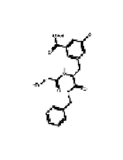 COC(=O)c1cc(Br)cc(C[C@H](NC(=O)OC(C)(C)C)C(=O)OCc2ccccc2)c1